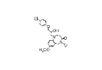 COc1ccc2c(c1)CN(C1CC1)C(=O)CCN2CC(O)COc1ccc(Cl)cc1